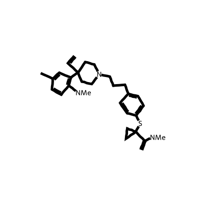 C=CC1(c2cc(C)ccc2NC)CCN(CCCc2ccc(SC3(C(=C)NC)CC3)cc2)CC1